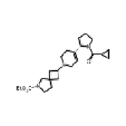 CCOC(=O)N1CCC2(CC(N3CC=C([C@@H]4CCCN4C(=O)C4CC4)CC3)C2)C1